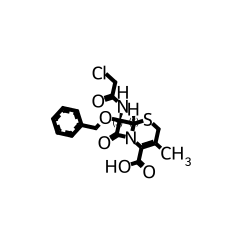 CC1=C(C(=O)O)N2C(=O)[C@](NC(=O)CCl)(OCc3ccccc3)[C@@H]2SC1